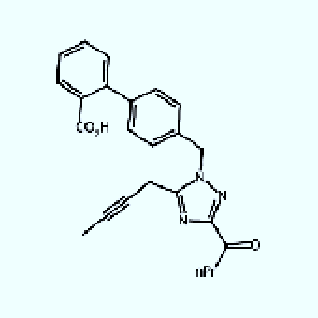 CC#CCc1nc(C(=O)CCC)nn1Cc1ccc(-c2ccccc2C(=O)O)cc1